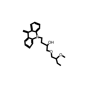 C=C1c2ccccc2N(CCC(O)COCC(CC)OC)c2ccccc21